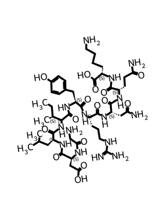 CC[C@H](C)[C@H](NC(=O)[C@H](CC(C)C)NC(=O)[C@H](CC(=O)O)NC(=O)CN)C(=O)N[C@@H](Cc1ccc(O)cc1)C(=O)N[C@@H](CCCNC(=N)N)C(=O)N[C@@H](CC(N)=O)C(=O)N[C@@H](CCC(N)=O)C(=O)N[C@@H](CCCCN)C(=O)O